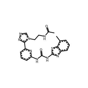 CC(=O)NCCn1cnnc1-c1cccc(NC(=O)Nc2nc3cccc(C)c3s2)n1